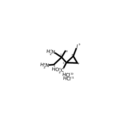 CC(N)(CN)C1(C(=O)O)CC1I.Cl.Cl